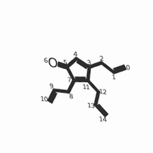 C=CCC1=CC(=O)C(CC=C)=C1CC=C